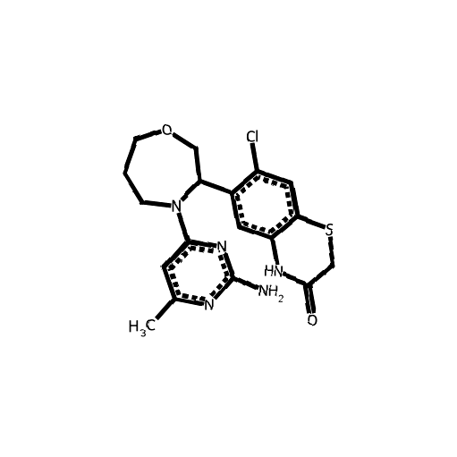 Cc1cc(N2CCCOCC2c2cc3c(cc2Cl)SCC(=O)N3)nc(N)n1